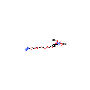 CC(C)(C)OC(=O)/N=C(/CCc1ccc(OCCOCCOCCOCCOCCOCCOCCN=[N+]=[N-])cc1)NC(=O)OC(C)(C)C